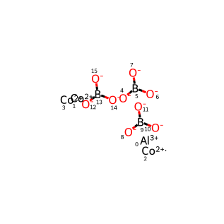 [Al+3].[Co+2].[Co+2].[Co+2].[O-]B([O-])[O-].[O-]B([O-])[O-].[O-]B([O-])[O-]